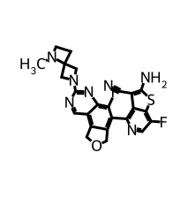 CN1CCC12CN(c1ncc3c4c(c(-c5ncc(F)c6sc(N)c(C#N)c56)c(F)c3n1)COC4)C2